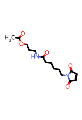 CC(=O)OCCCNC(=O)CCCCCN1C(=O)C=CC1=O